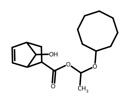 CC(OC(=O)C1CC2C=CC1C2O)OC1CCCCCCC1